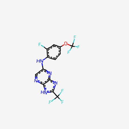 Fc1cc(OC(F)(F)F)ccc1Nc1cnc2[nH]c(C(F)(F)F)nc2n1